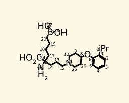 CC(C)c1ccccc1OC1CCN(CCCC(N)(CCCCB(O)O)C(=O)O)CC1